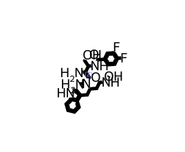 N/C(=C\N(N)C(CC(=O)NO)Cc1c[nH]c2ccccc12)C(CO)NC(=O)c1ccc(F)c(F)c1